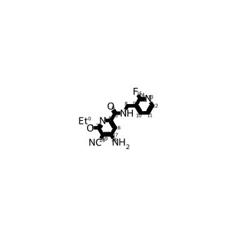 CCOc1nc(C(=O)NCc2cccnc2F)cc(N)c1C#N